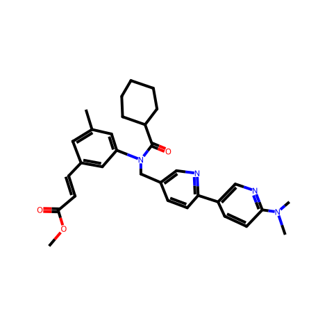 COC(=O)/C=C/c1cc(C)cc(N(Cc2ccc(-c3ccc(N(C)C)nc3)nc2)C(=O)C2CCCCC2)c1